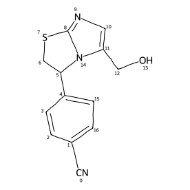 N#Cc1ccc(C2CSc3ncc(CO)n32)cc1